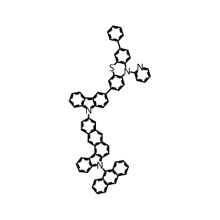 c1ccc(-c2ccc3c(c2)Sc2cc(-c4ccc5c(c4)c4ccccc4n5-c4ccc5cc6c(ccc7c6c6ccccc6n7-c6c7ccccc7cc7ccccc67)cc5c4)ccc2N3c2ccccn2)cc1